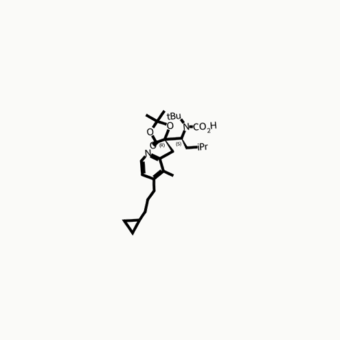 Cc1c(CCCC2CC2)ccnc1C[C@]1([C@H](CC(C)C)N(C(=O)O)C(C)(C)C)OC(C)(C)OC1=O